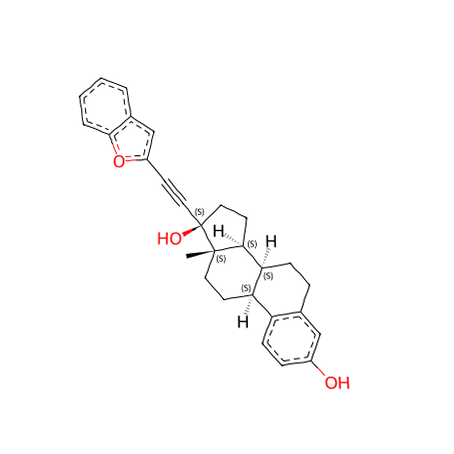 C[C@]12CC[C@@H]3c4ccc(O)cc4CC[C@@H]3[C@@H]1CC[C@@]2(O)C#Cc1cc2ccccc2o1